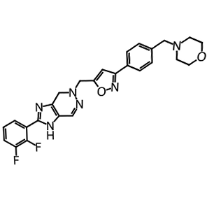 Fc1cccc(-c2nc3c([nH]2)C=NN(Cc2cc(-c4ccc(CN5CCOCC5)cc4)no2)C3)c1F